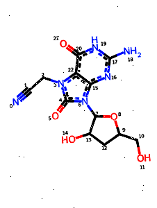 N#CCn1c(=O)n(C2OC(CO)CC2O)c2nc(N)[nH]c(=O)c21